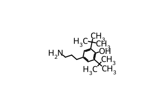 CC(C)(C)c1cc(CCCN)cc(C(C)(C)C)c1O